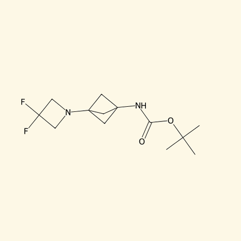 CC(C)(C)OC(=O)NC12CC(N3CC(F)(F)C3)(C1)C2